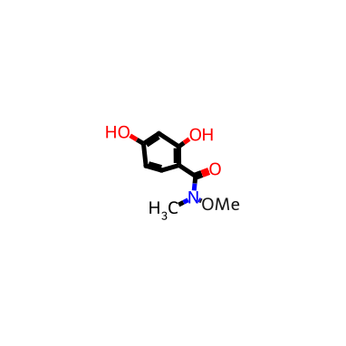 CON(C)C(=O)c1ccc(O)cc1O